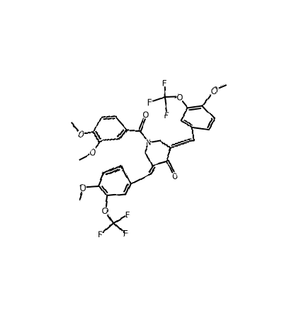 COc1ccc(C(=O)N2CC(=Cc3ccc(OC)c(OC(F)(F)F)c3)C(=O)C(=Cc3ccc(OC)c(OC(F)(F)F)c3)C2)cc1OC